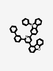 c1ccc(-c2cccc(-c3cc(-c4cccc5oc6ccccc6c45)cc(-c4ccc5c6ccccc6n(-c6ccccc6)c5c4)n3)c2)cc1